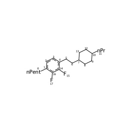 CCCCCc1ccc(CCC2CCC(CCC)CC2)c(F)c1F